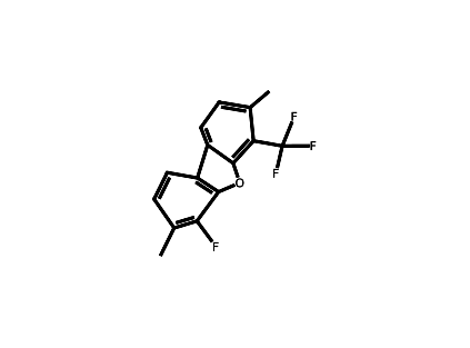 Cc1ccc2c(oc3c(C(F)(F)F)c(C)ccc32)c1F